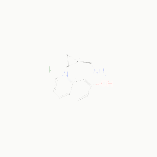 NCC1CC1.Oc1ccc2ccc(Cl)nc2c1